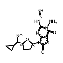 N=NNc1nc2c(sc(=O)n2[C@H]2CC[C@@H](C(N=O)C3CC3)O2)c(=O)n1N